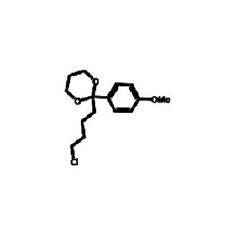 COc1ccc(C2(CCCCCl)OCCCO2)cc1